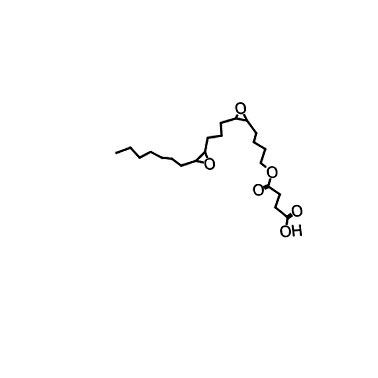 CCCCCCCC1OC1CCCC1OC1CCCCOC(=O)CCC(=O)O